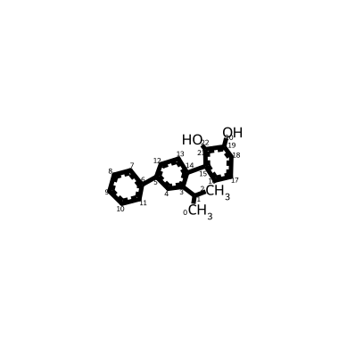 CC(C)c1cc(-c2ccccc2)ccc1-c1cccc(O)c1O